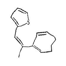 C/C(=C/c1cccs1)C1=CCCC=C1